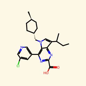 CCC(C)c1cn(C[C@H]2CC[C@H](C)CC2)c2c(-c3cncc(Cl)c3)nc(C(=O)O)nc12